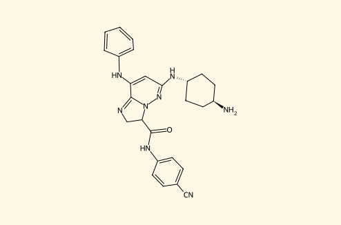 N#Cc1ccc(NC(=O)C2CN=C3C(Nc4ccccc4)=CC(N[C@H]4CC[C@H](N)CC4)=NN32)cc1